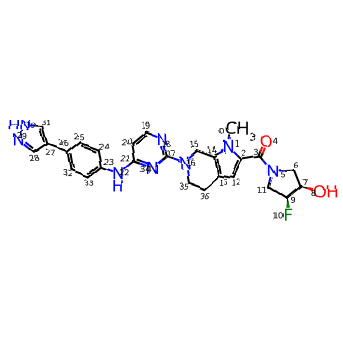 Cn1c(C(=O)N2C[C@@H](O)[C@@H](F)C2)cc2c1CN(c1nccc(Nc3ccc(-c4cn[nH]c4)cc3)n1)CC2